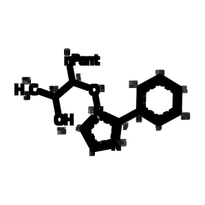 CCCCCC(On1ccnc1-c1ccccc1)C(C)O